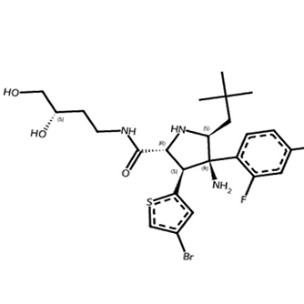 CC(C)(C)C[C@@H]1N[C@@H](C(=O)NCC[C@H](O)CO)[C@H](c2cc(Br)cs2)[C@@]1(N)c1ccc(Cl)cc1F